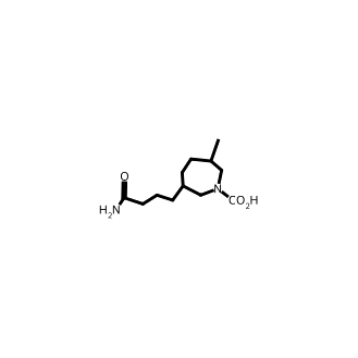 CC1CCC(CCCC(N)=O)CN(C(=O)O)C1